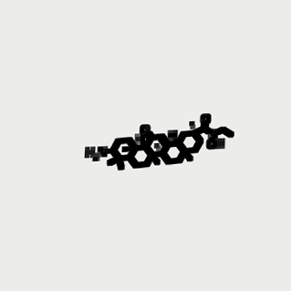 CCN(O)C(=O)[C@@]1(C)CC[C@]2(C)CC[C@]3(C)C(=CC(=O)[C@@H]4[C@@]5(C)CC[C@H](N)C(C)(C)C5CC[C@]43C)[C@@H]2C1